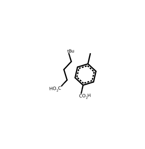 CC(C)(C)CCCC(=O)O.Cc1ccc(C(=O)O)cc1